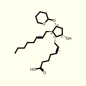 CCCCC/C=C/C[C@@H]1[C@@H](C/C=C\CCCC(=O)O)[C@@H](O)C[C@H]1OC1CCCCO1